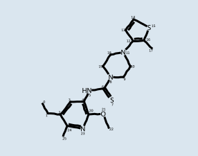 CCc1cc(NC(=S)N2CCN(c3ccsc3C)CC2)c(OC)nc1C